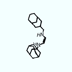 C(=C/NC12CC3CC(CC(C3)C1)C2)/NCC1CC2CCCC(C2)C1